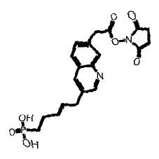 O=C(Cc1ccc2cc(CCCCCP(=O)(O)O)cnc2c1)ON1C(=O)CCC1=O